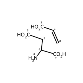 C=CC(=O)O.NC(CC(=O)O)C(=O)O